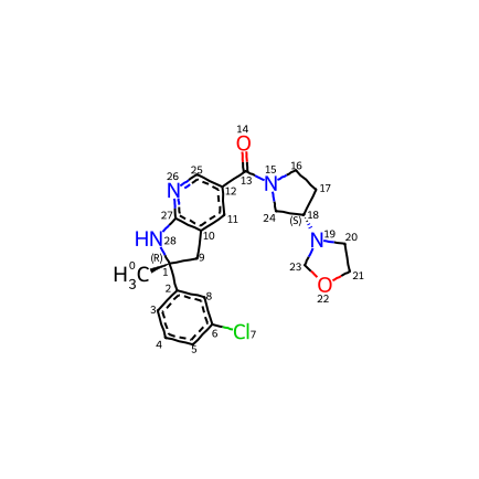 C[C@]1(c2cccc(Cl)c2)Cc2cc(C(=O)N3CC[C@H](N4CCOC4)C3)cnc2N1